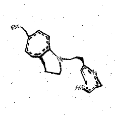 Brc1ccc2c(c1)CCN2Cc1ncc[nH]1